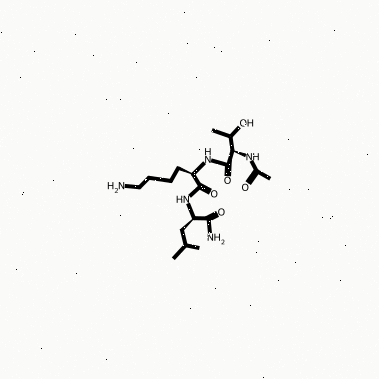 CC(=O)N[C@@H](C(=O)N[C@H](CCCCN)C(=O)N[C@H](CC(C)C)C(N)=O)C(C)O